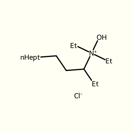 CCCCCCCCCC(CC)[N+](O)(CC)CC.[Cl-]